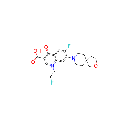 O=C(O)c1cn(CCF)c2cc(N3CCC4(CCOC4)CC3)c(F)cc2c1=O